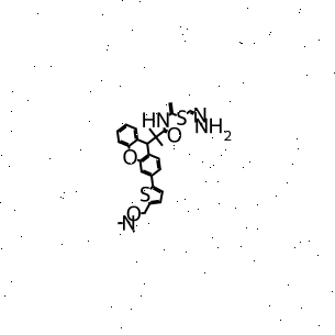 C=C(NC(=O)C(C)(C)C1c2ccccc2Oc2cc(-c3ccc(CON(C)C)s3)ccc21)S/C=N\N